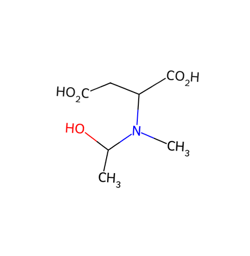 CC(O)N(C)C(CC(=O)O)C(=O)O